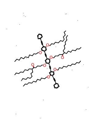 CCCCCCCCCCCCOc1cc(C#Cc2cc(OCCCCC(=O)C(CCCCCCCC)CCCCCCCC)c(C#Cc3cc(OCCCCCCCCCCCC)c(C#Cc4ccccc4)cc3OCCCCCCCCCCCC)cc2OCCCCC(=O)C(CCCCCCCC)CCCCCCCC)c(OCCCCCCCCCCCC)cc1C#Cc1ccccc1